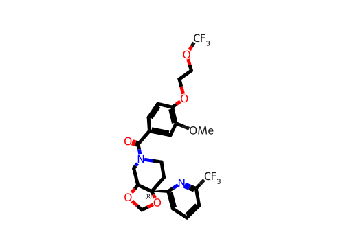 COc1cc(C(=O)N2CC[C@]3(c4cccc(C(F)(F)F)n4)OCOC3C2)ccc1OCCOC(F)(F)F